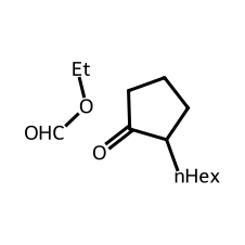 CCCCCCC1CCCC1=O.CCOC=O